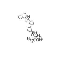 CC(C)(O)C(C)(C)OBc1cccc(-c2cccc(-c3nc4ccc5ccccc5c4o3)c2)c1